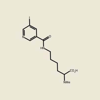 CNC(CCCCNC(=O)c1cncc(I)c1)C(=O)O